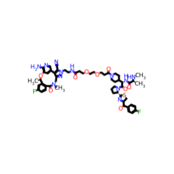 CN[C@@H](C)C(=O)N[C@H](C(=O)N1CCC[C@H]1C1=NC(C(=O)c2ccc(F)cc2)CS1)C1CCN(C(=O)CCOCCOCCC(=O)NCCn2nc3c(c2C#N)-c2cnc(N)c(c2)O[C@H](C)c2cc(F)ccc2C(=O)N(C)C3)CC1